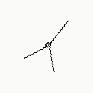 CCCCCCCCCCCCCCCCCN1C=CN(CCCCCCCCCCCCCCC)C1CCCCCCCCCCCCCCC